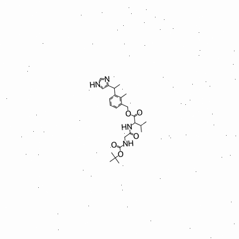 Cc1c(COC(=O)C(NC(=O)CNC(=O)OC(C)(C)C)C(C)C)cccc1C(C)c1c[nH]cn1